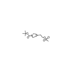 CC(C)(C)OC(=O)N1CC2C(CCOS(C)(=O)=O)C2C1